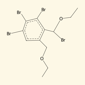 CCOCc1cc(Br)c(Br)c(Br)c1C(Br)OCC